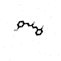 O=C(/C=C/c1cccc(O)c1)/C=C/c1ccccc1F